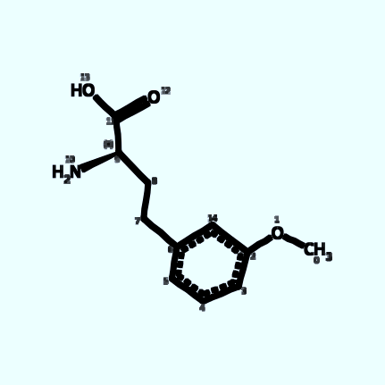 COc1cccc(CC[C@@H](N)C(=O)O)c1